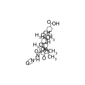 CC(C)C1=C2[C@H]3CC[C@@H]4[C@@]5(C)CC=C(C6=CCC(C(=O)O)CC6)C(C)(C)[C@@H]5CC[C@@]4(C)[C@]3(C)CC[C@@]2(C(=O)NCCN2CCOCC2)CC1=O